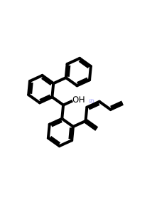 C=C/C=C\C(=C)c1ccccc1C(O)c1ccccc1-c1ccccc1